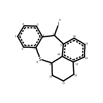 IC1c2ccccc2SC2CCCc3cccc1c32